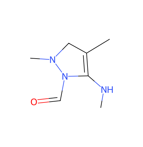 CNC1=C(C)CN(C)N1C=O